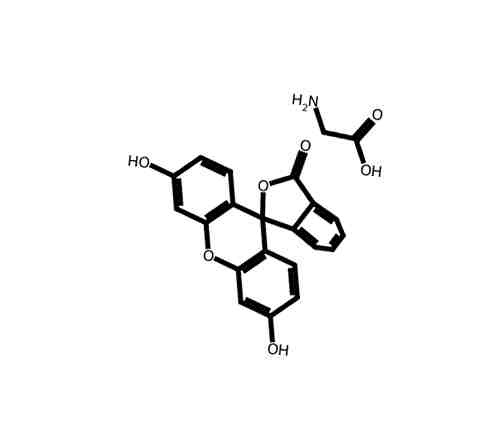 NCC(=O)O.O=C1OC2(c3ccc(O)cc3Oc3cc(O)ccc32)c2ccccc21